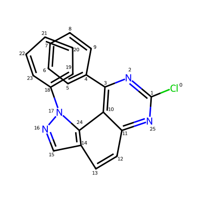 Clc1nc(-c2ccccc2)c2c(ccc3cnn(-c4ccccc4)c32)n1